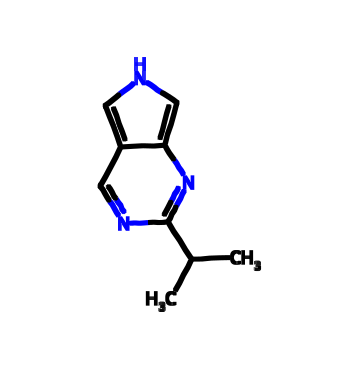 CC(C)c1ncc2c[nH]cc2n1